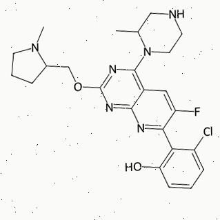 CC1CNCCN1c1nc(OCC2CCCN2C)nc2nc(-c3c(O)cccc3Cl)c(F)cc12